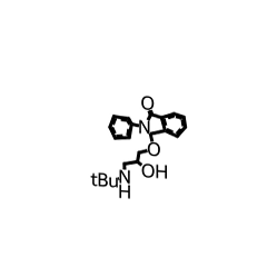 CC(C)(C)NCC(O)COC1c2ccccc2C(=O)N1c1ccccc1